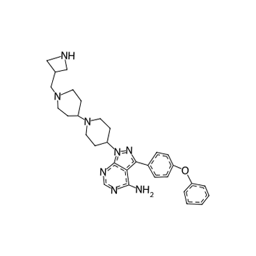 Nc1ncnc2c1c(-c1ccc(Oc3ccccc3)cc1)nn2C1CCN(C2CCN(CC3CNC3)CC2)CC1